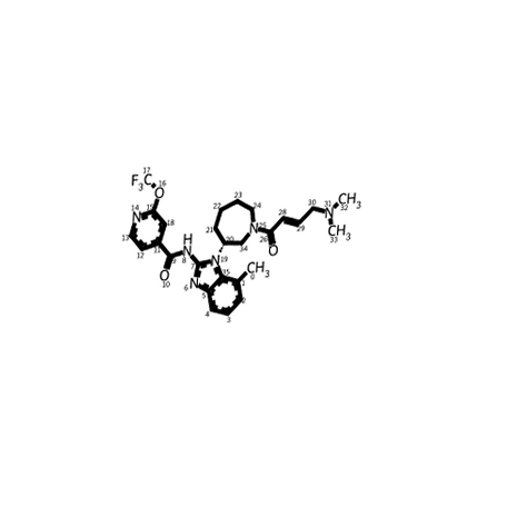 Cc1cccc2nc(NC(=O)c3ccnc(OC(F)(F)F)c3)n([C@@H]3CCCCN(C(=O)C=CCN(C)C)C3)c12